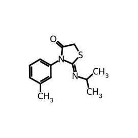 Cc1cccc(N2C(=O)CSC2=NC(C)C)c1